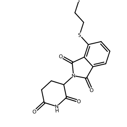 O=C1CCC(N2C(=O)c3cccc(SCCI)c3C2=O)C(=O)N1